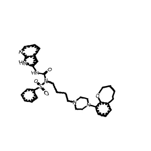 O=C(Nc1cc2cccnc2[nH]1)N(CCCCN1CCN(c2cccc3c2OCCCC3)CC1)S(=O)(=O)c1ccccc1